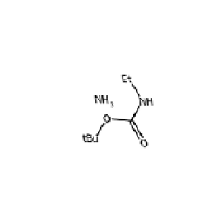 CCNC(=O)OC(C)(C)C.N